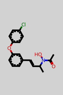 CC(=O)N(O)C(C)C=Cc1cccc(Oc2ccc(Cl)cc2)c1